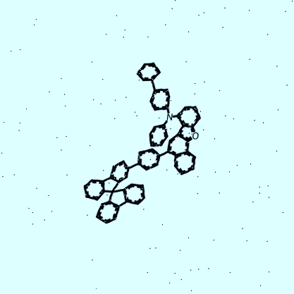 c1ccc(-c2ccc(N(c3ccccc3)c3cccc4oc5c6ccccc6c(-c6ccc(-c7ccc8c(c7)C7(c9ccccc9-c9ccccc97)c7ccccc7-8)cc6)cc5c34)cc2)cc1